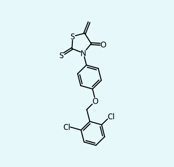 C=C1SC(=S)N(c2ccc(OCc3c(Cl)cccc3Cl)cc2)C1=O